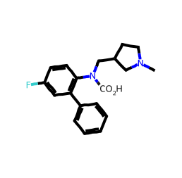 CN1CCC(CN(C(=O)O)c2ccc(F)cc2-c2ccccc2)C1